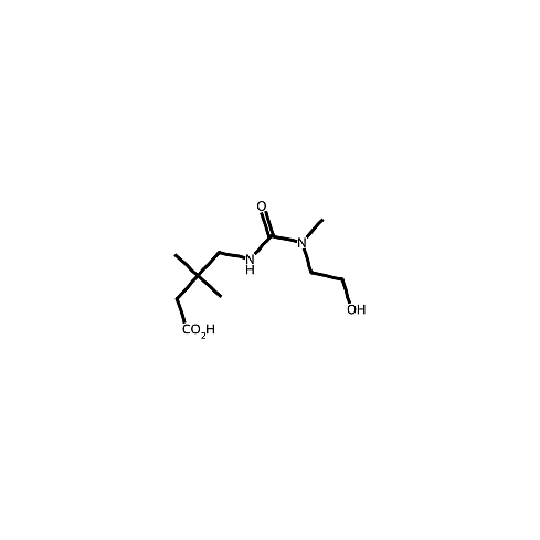 CN(CCO)C(=O)NCC(C)(C)CC(=O)O